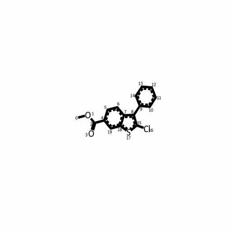 COC(=O)c1ccc2c(-c3ccccc3)c(Cl)sc2c1